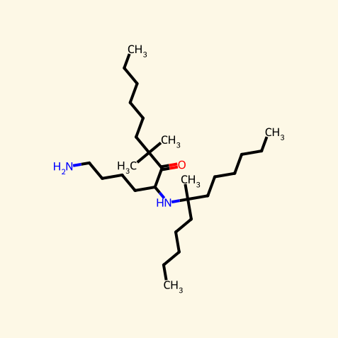 CCCCCCC(C)(CCCCC)NC(CCCCN)C(=O)C(C)(C)CCCCCC